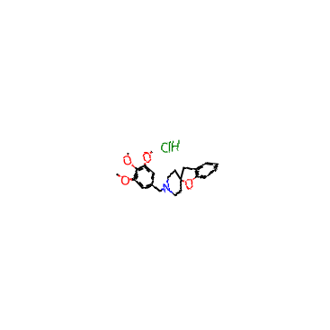 COc1cc(CN2CCC3(CC2)Cc2ccccc2O3)cc(OC)c1OC.Cl